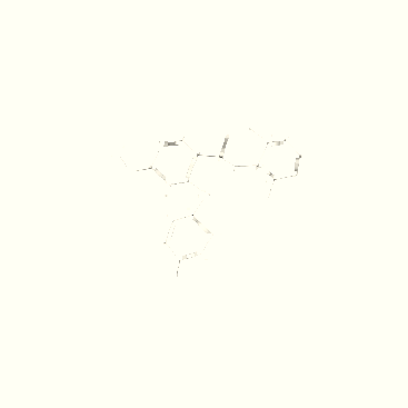 CSc1ncc(C(=O)Cc2c(Cl)cccc2Cl)c(Nc2ccc(F)cc2)n1